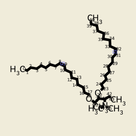 CCCCCCCC/C=C\CCCCCCCCOC(C)C(OCCCCCCCC/C=C\CCCCCCCC)C(CC)N(C)C